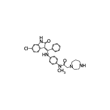 CN(C(=O)CN1CCCNCC1)c1ccc(NC(=C2C(=O)Nc3cc(Cl)ccc32)c2ccccc2)cc1